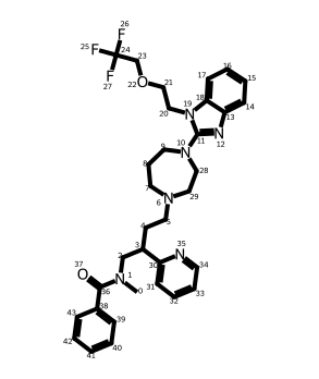 CN(CC(CCN1CCCN(c2nc3ccccc3n2CCOCC(F)(F)F)CC1)c1ccccn1)C(=O)c1ccccc1